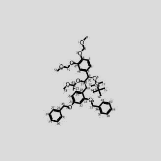 COCOc1ccc([C@@H](O[Si](C)(C)C(C)(C)C)[C@@H](Cc2c(F)cc(OCc3ccccc3)cc2OCc2ccccc2)OCOC)cc1OCOC